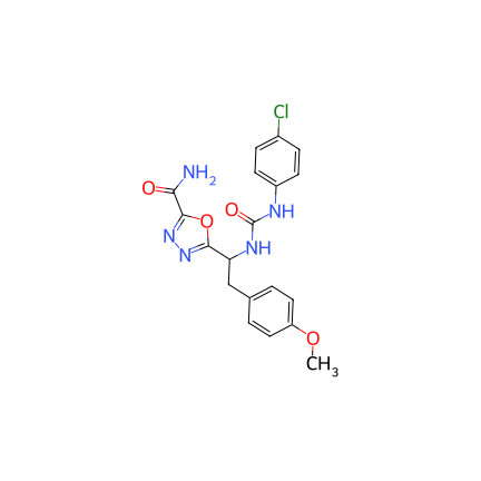 COc1ccc(CC(NC(=O)Nc2ccc(Cl)cc2)c2nnc(C(N)=O)o2)cc1